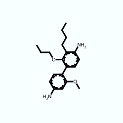 CCCCc1c(N)ccc(-c2ccc(N)cc2OC)c1OCCC